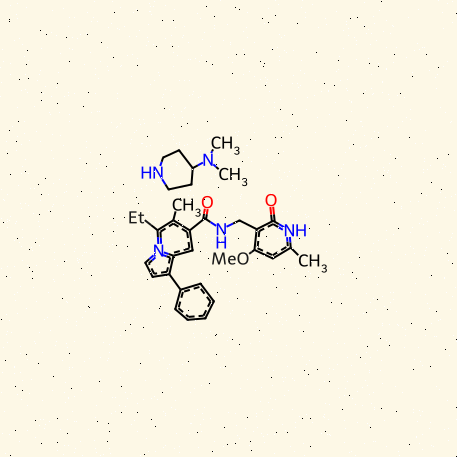 CCc1c(C)c(C(=O)NCc2c(OC)cc(C)[nH]c2=O)cc2c(-c3ccccc3)ccn12.CN(C)C1CCNCC1